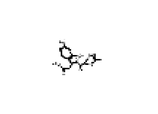 Cc1cnc(C(=O)c2[nH]c3cc(Cl)ccc3c2CC(=O)O)s1